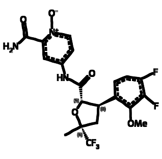 COc1c([C@H]2C[C@](C)(C(F)(F)F)O[C@@H]2C(=O)Nc2cc[n+]([O-])c(C(N)=O)c2)ccc(F)c1F